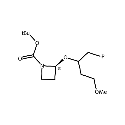 COCCC(CC(C)C)O[C@H]1CCN1C(=O)OC(C)(C)C